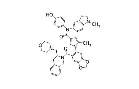 Cc1cc(C(=O)N(c2ccc(O)cc2)c2ccc3c(ccn3C)c2)cn1-c1cc2c(cc1C(=O)N1Cc3ccccc3C[C@H]1CN1CCOCC1)OCO2